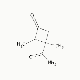 CC1C(=O)CC1(C)C(N)=O